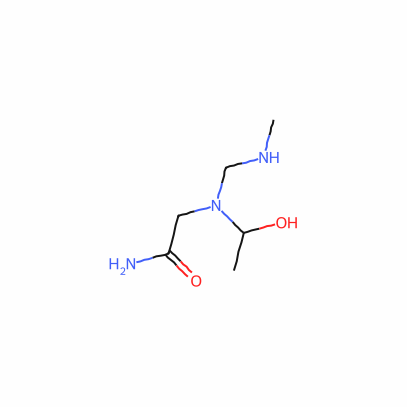 CNCN(CC(N)=O)C(C)O